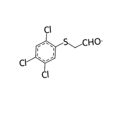 O=[C]CSc1cc(Cl)c(Cl)cc1Cl